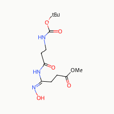 COC(=O)CC/C(=N\O)NC(=O)CCNC(=O)OC(C)(C)C